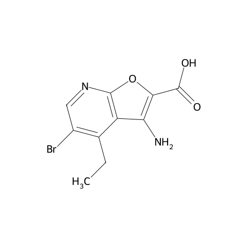 CCc1c(Br)cnc2oc(C(=O)O)c(N)c12